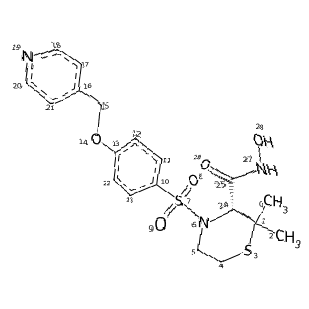 CC1(C)SCCN(S(=O)(=O)c2ccc(OCc3ccncc3)cc2)[C@@H]1C(=O)NO